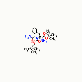 CC(C)(C)OC(=O)C(N)[C@H](CC1CCCCC1)N(CC(N)=O)C(=O)OCC[Si](C)(C)C